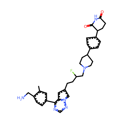 Cc1cc(-c2ncnn3cc(CCC(F)CN4CCC(c5ccc(C6CCC(=O)NC6=O)cc5)CC4)cc23)ccc1CN